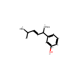 CCCCCCC(C=CC(C)CCCC)c1cccc(O)c1